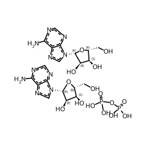 Nc1ncnc2c1ncn2[C@@H]1O[C@H](CO)[C@@H](O)[C@H]1O.Nc1ncnc2c1ncn2[C@@H]1O[C@H](CO)[C@@H](O)[C@H]1O.O=P(O)(O)OP(=O)(O)O